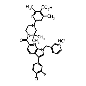 Cc1cc(N2CCN(C(=O)c3ccc4c(-c5ccc(Cl)c(F)c5)cn(Cc5cccnc5)c4n3)C(C)(C)C2)nc(C)c1C(=O)O.Cl